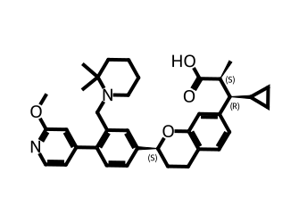 COc1cc(-c2ccc([C@@H]3CCc4ccc([C@H](C5CC5)[C@H](C)C(=O)O)cc4O3)cc2CN2CCCCC2(C)C)ccn1